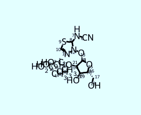 CC(=O)O.CC(=O)O.CC(=O)O.N#CNC1SC=NN1O[C@@H]1O[C@H](CO)[C@@H](O)[C@H]1O